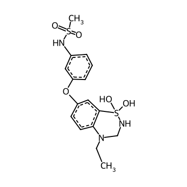 CCN1CNS(O)(O)c2cc(Oc3cccc(NS(C)(=O)=O)c3)ccc21